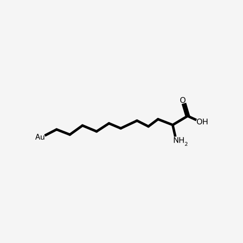 NC(CCCCCCCC[CH2][Au])C(=O)O